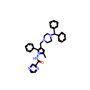 Cc1cc(CN2CCN(C(c3ccccc3)c3ccccc3)CC2)c(-c2ccccc2)n1NC(=O)c1cnccn1